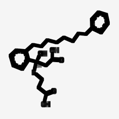 O=C(O)CCS[C@@](O)(CC(=O)O)c1ccccc1CCCCCCCCc1ccccc1